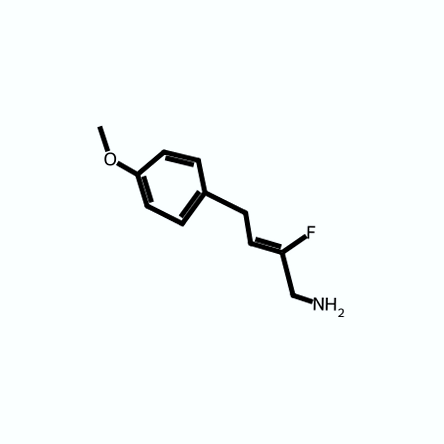 COc1ccc(CC=C(F)CN)cc1